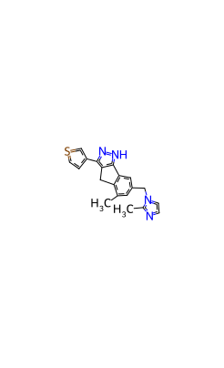 Cc1cc(Cn2ccnc2C)cc2c1Cc1c(-c3ccsc3)n[nH]c1-2